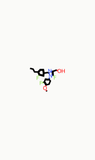 CCCc1ccc(-c2nc(CO)c(F)n2C2=CC(F)=C(OC)CC2)cc1F